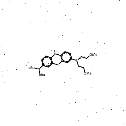 CCCCN(CCCC)c1ccc2c(c1)Sc1cc(N(CCOC)CCOC)ccc1N2